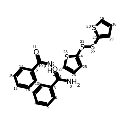 NC(=O)c1ccccc1.NC(=O)c1ccccc1.c1csc(SSc2cccs2)c1